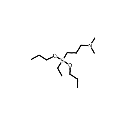 CCCO[Si](CC)(CCCN(C)C)OCCC